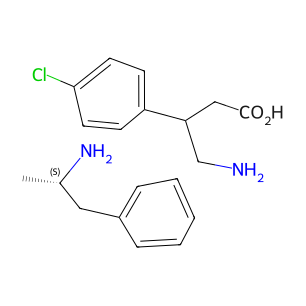 C[C@H](N)Cc1ccccc1.NCC(CC(=O)O)c1ccc(Cl)cc1